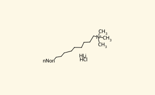 CCCCCCCCCCCCCCCCCC[N+](C)(C)C.Cl.[LiH]